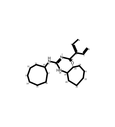 C=C/C(=C\C)C(=O)/N=C(/NC1CCCCCCC1)NC1CCCCCC1